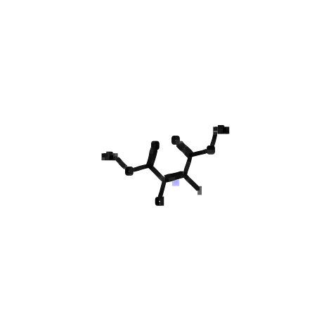 CCCCOC(=O)/C(Cl)=C(/I)C(=O)OCCCC